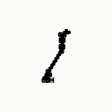 CCC(C)COC(=O)c1ccc(-c2ccc(OCCCCCCCCCCCCOC(=O)CC(CO)CO)cc2)cc1